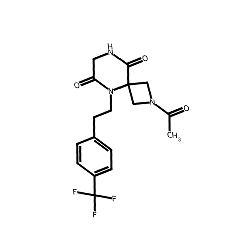 CC(=O)N1CC2(C1)C(=O)NCC(=O)N2CCc1ccc(C(F)(F)F)cc1